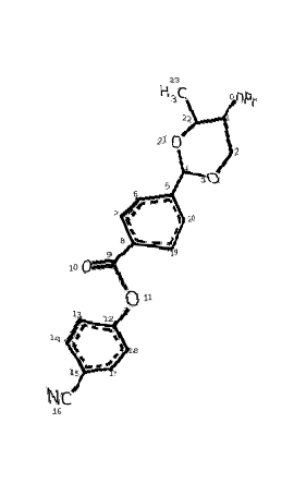 CCCC1COC(c2ccc(C(=O)Oc3ccc(C#N)cc3)cc2)OC1C